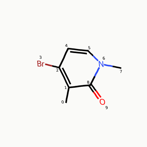 Cc1c(Br)ccn(C)c1=O